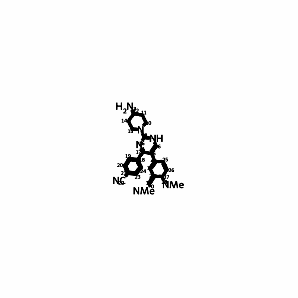 CN/C=C1/C=C(C2=CNC(N3CCC(N)CC3)N=C2c2ccc(C#N)cc2)C=CC1NC